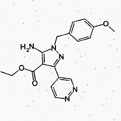 CCOC(=O)c1c(-c2ccnnc2)nn(Cc2ccc(OC)cc2)c1N